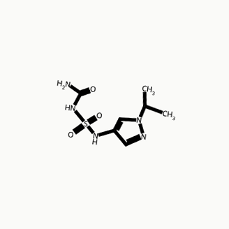 CC(C)n1cc(NS(=O)(=O)NC(N)=O)cn1